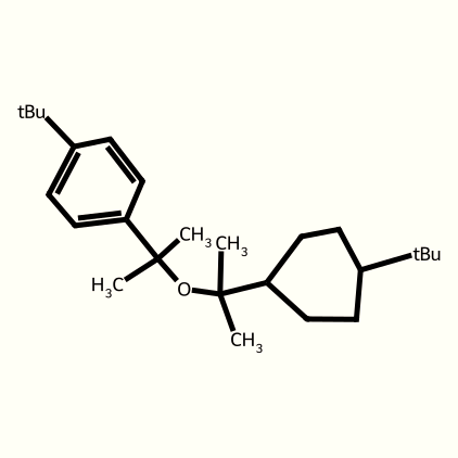 CC(C)(C)c1ccc(C(C)(C)OC(C)(C)C2CCC(C(C)(C)C)CC2)cc1